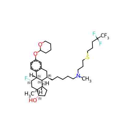 CN(CCCCC[C@@H]1Cc2cc(OC3CCCCO3)ccc2[C@@H]2[C@@H]1[C@@H]1CC[C@H](O)[C@@]1(C)C[C@@H]2F)CCCSCCCC(F)(F)C(F)(F)F